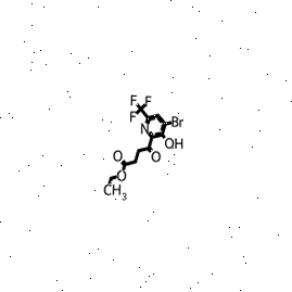 CCOC(=O)CCC(=O)c1nc(C(F)(F)F)cc(Br)c1O